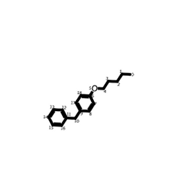 CCCCCOc1ccc(Cc2ccccc2)cc1